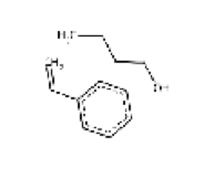 C=Cc1ccccc1.CCCCO